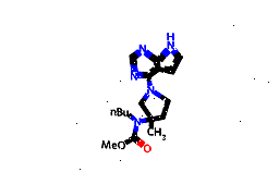 CCCCN(C(=O)OC)C1(C)CCN(c2ncnc3[nH]ccc23)C1